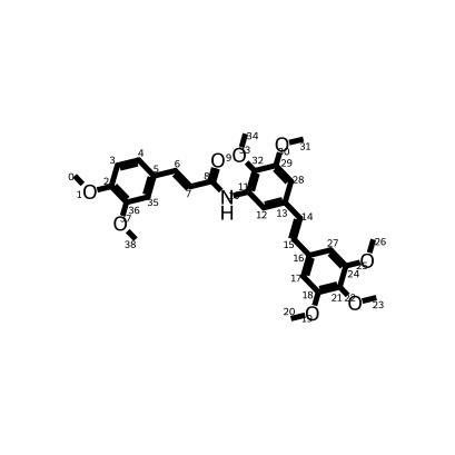 COc1ccc(/C=C/C(=O)Nc2cc(C=Cc3cc(OC)c(OC)c(OC)c3)cc(OC)c2OC)cc1OC